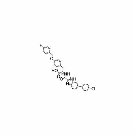 O=C(N[C@@H](Cc1ccc(OCc2ccc(F)cc2)cc1)C(=O)O)c1nc2ccc(-c3ccc(Cl)cc3)cc2[nH]1